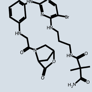 CC(C)(C(N)=O)C(=O)NCCCNc1nc(Nc2cccc(NCC(=O)N3CC4CC3C(=O)O4)c2)ncc1Br